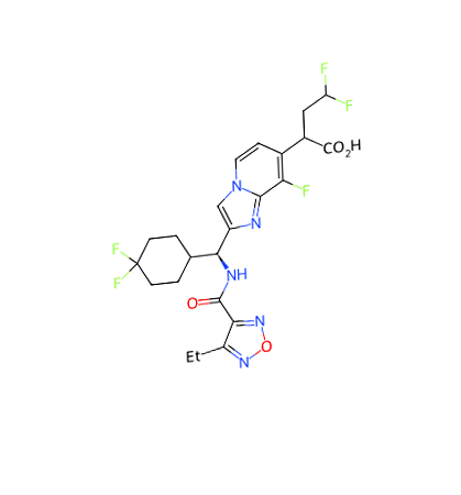 CCc1nonc1C(=O)N[C@H](c1cn2ccc(C(CC(F)F)C(=O)O)c(F)c2n1)C1CCC(F)(F)CC1